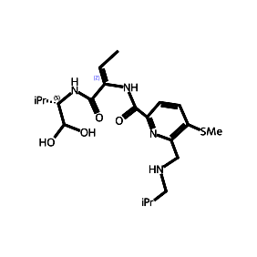 C/C=C(\NC(=O)c1ccc(SC)c(CNCC(C)C)n1)C(=O)N[C@@H](C(C)C)C(O)O